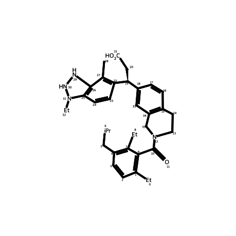 CCc1ccc(CC(C)C)c(CC)c1C(=O)N1CCc2ccc([C@H](CC(=O)O)c3ccc4c(c3C)NNN4CC)cc2C1